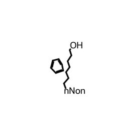 CCCCCCCCCCCCCCCCO.c1ccccc1